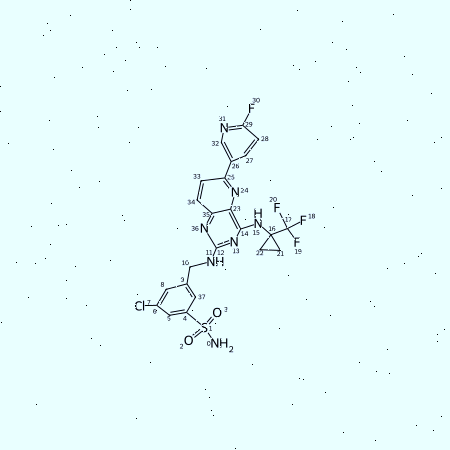 NS(=O)(=O)c1cc(Cl)cc(CNc2nc(NC3(C(F)(F)F)CC3)c3nc(-c4ccc(F)nc4)ccc3n2)c1